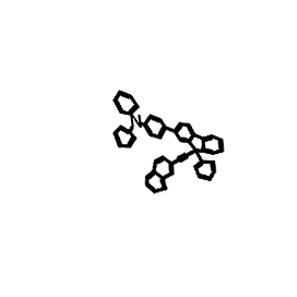 C(#CC1(c2ccccc2)c2ccccc2-c2ccc(-c3ccc(N(c4ccccc4)c4ccccc4)cc3)cc21)c1ccc2ccccc2c1